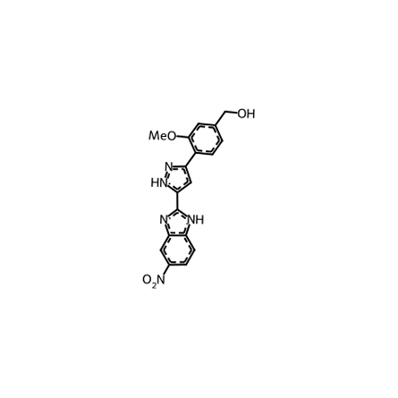 COc1cc(CO)ccc1-c1cc(-c2nc3cc([N+](=O)[O-])ccc3[nH]2)[nH]n1